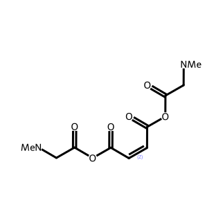 CNCC(=O)OC(=O)/C=C\C(=O)OC(=O)CNC